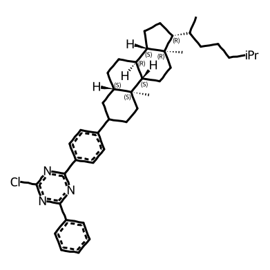 CC(C)CCCC(C)[C@H]1CC[C@H]2[C@@H]3CC[C@H]4CC(c5ccc(-c6nc(Cl)nc(-c7ccccc7)n6)cc5)CC[C@]4(C)[C@H]3CC[C@]12C